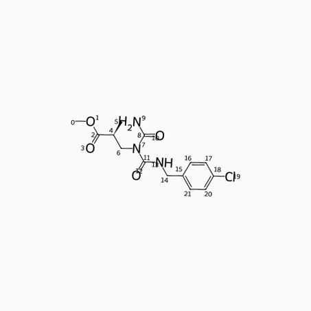 COC(=O)[C@@H](C)CN(C(N)=O)C(=O)NCc1ccc(Cl)cc1